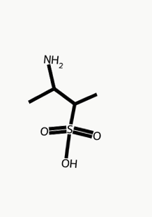 CC(N)C(C)S(=O)(=O)O